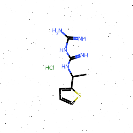 CC(NC(=N)NC(=N)N)c1cccs1.Cl